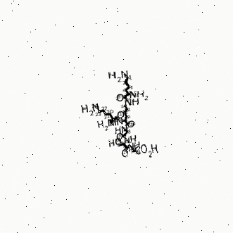 NCCCCC(N)C(=O)NCCCCC(NC(=O)C(N)CCCCN)C(=O)NCC(=O)NC(CO)C(=O)NCC(=O)O